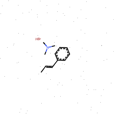 Br.CC=Cc1ccccc1.CN(C)C